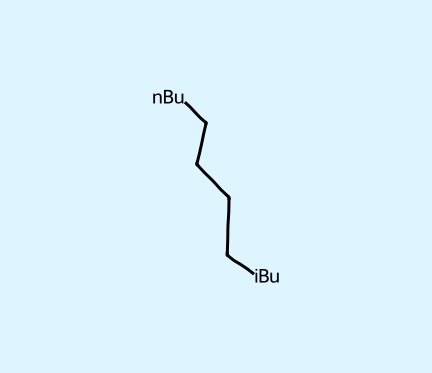 C[CH]CCCCCCC(C)CC